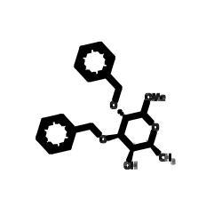 COC1O[C@@H](C)[C@@H](O)[C@@H](OCc2ccccc2)[C@@H]1OCc1ccccc1